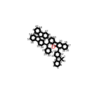 CC1(C)c2ccccc2-c2ccc(-c3c4ccccc4cc4c3oc3c(C(c5ccccc5)c5ccc6c(c5)C5(c7ccccc7-c7ccccc75)c5ccccc5-6)cccc34)cc21